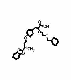 CN(CCOc1ccc(CC(OCCOCc2ccccc2)C(=O)O)cc1)c1nc2ccccc2o1